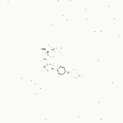 CC(C)[C@H]1CN(C(=O)[C@@H](NC(=O)c2ccc(N3CCN(C)CC3)cc2)C(C)(C)C)[C@@H]2C(=O)CO[C@H]12